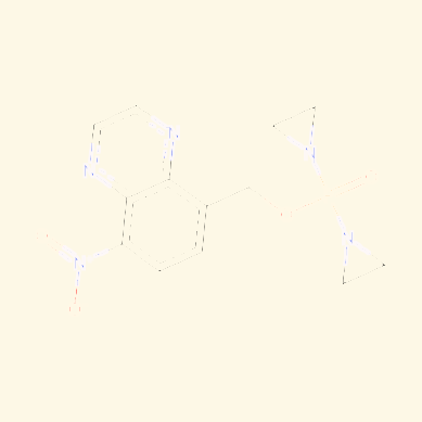 O=[N+]([O-])c1ccc(COP(=O)(N2CC2)N2CC2)c2nccnc12